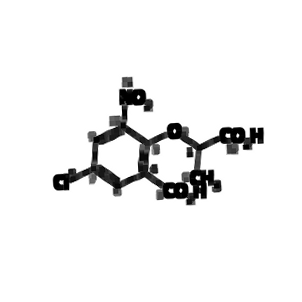 CC(Oc1c(C(=O)O)cc(Cl)cc1[N+](=O)[O-])C(=O)O